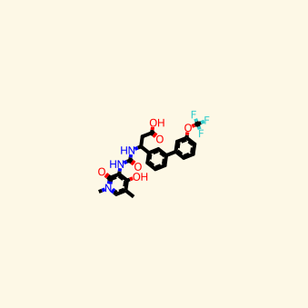 Cc1cn(C)c(=O)c(NC(=O)NC(CC(=O)O)c2cccc(-c3cccc(OC(F)(F)F)c3)c2)c1O